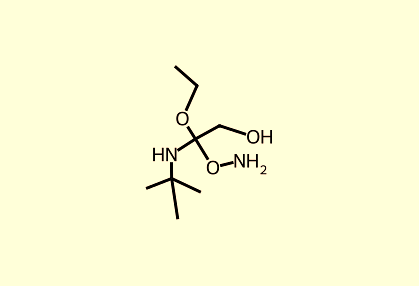 CCOC(CO)(NC(C)(C)C)ON